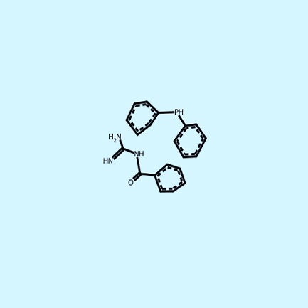 N=C(N)NC(=O)c1ccccc1.c1ccc(Pc2ccccc2)cc1